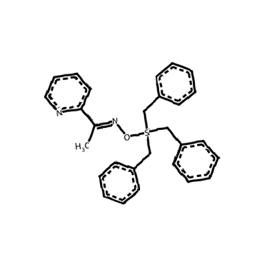 CC(=NO[Si](Cc1ccccc1)(Cc1ccccc1)Cc1ccccc1)c1ccccn1